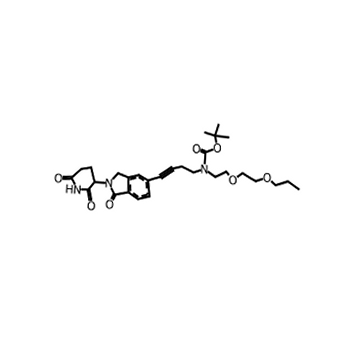 CCCOCCOCCN(CCC#Cc1ccc2c(c1)CN(C1CCC(=O)NC1=O)C2=O)C(=O)OC(C)(C)C